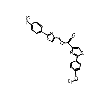 CCOc1ccc(-c2nc(COC(=O)c3csc(-c4ccc(OCC)cc4)n3)cs2)cc1